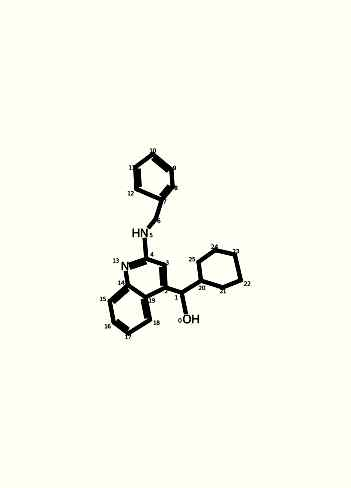 OC(c1cc(NCc2ccccc2)nc2ccccc12)C1CCCCC1